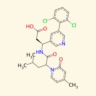 Cc1ccn(C(CC(C)C)C(=O)N[C@@H](CC(=O)O)c2cncc(-c3c(Cl)cccc3Cl)c2)c(=O)c1